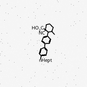 CCCCCCCc1ccc(-c2ccc(C3C(C)CCCC3(C#N)C(=O)O)cc2)cc1